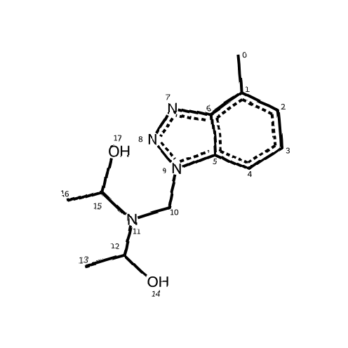 Cc1cccc2c1nnn2CN(C(C)O)C(C)O